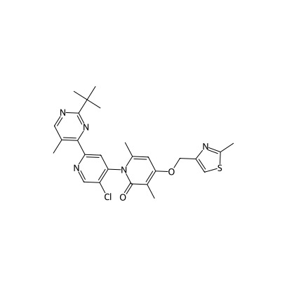 Cc1nc(COc2cc(C)n(-c3cc(-c4nc(C(C)(C)C)ncc4C)ncc3Cl)c(=O)c2C)cs1